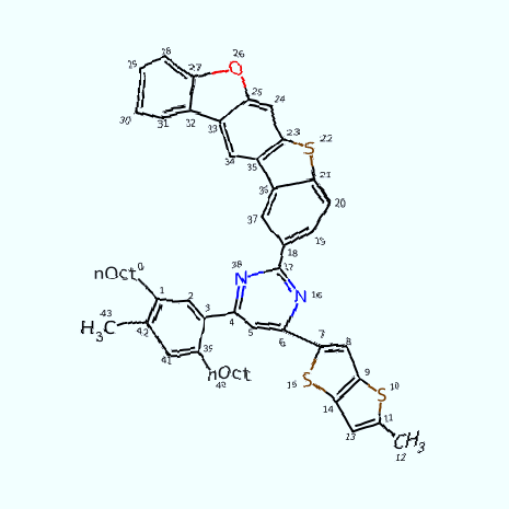 CCCCCCCCc1cc(-c2cc(-c3cc4sc(C)cc4s3)nc(-c3ccc4sc5cc6oc7ccccc7c6cc5c4c3)n2)c(CCCCCCCC)cc1C